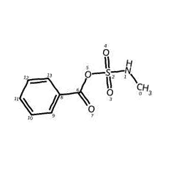 CNS(=O)(=O)OC(=O)c1ccccc1